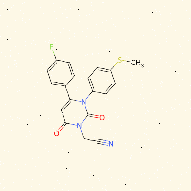 CSc1ccc(-n2c(-c3ccc(F)cc3)cc(=O)n(CC#N)c2=O)cc1